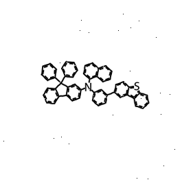 c1ccc(C2(c3ccccc3)c3ccccc3-c3ccc(N(c4cccc(-c5ccc6sc7ccccc7c6c5)c4)c4cccc5ccccc45)cc32)cc1